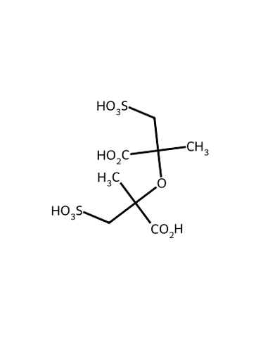 CC(CS(=O)(=O)O)(OC(C)(CS(=O)(=O)O)C(=O)O)C(=O)O